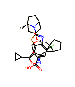 CC12CCCC1C2c1noc(C2CC2)c1COC1CC2CC[C@@H](C1)N2c1nc2c(F)cc(C(=O)O)cc2s1